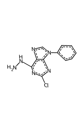 NNc1nc(Cl)nc2c1ncn2-c1ccccc1